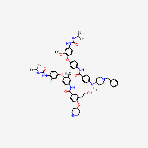 CCC(CC)NC(=O)Nc1ccc(Oc2ccc(NC(=O)c3ccc(OC4CCNCC4)c(CCO)c3)cc2C)cc1F.CCOc1cc(NC(=O)NC(CC)CC)ccc1Oc1ccc(NC(=O)c2ccc(N(C)C3CCN(Cc4ccccc4)CC3)cc2)cc1